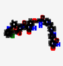 CNC(=O)C1(Oc2ccccc2-c2nc3cccc(Cl)c3s2)CCN(C(=O)[C@H]2CC(=O)Nc3cc(OCCNC(=O)C4CCN(CC5CCN(c6ccc(C7CCC(=O)NC7=O)cn6)CC5)CC4)ccc32)CC1